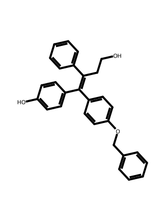 OCCC(=C(c1ccc(O)cc1)c1ccc(OCc2ccccc2)cc1)c1ccccc1